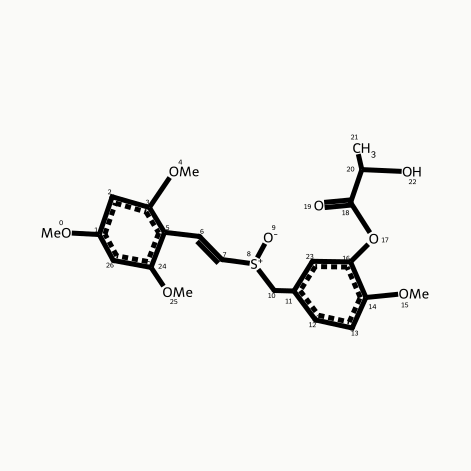 COc1cc(OC)c(C=C[S+]([O-])Cc2ccc(OC)c(OC(=O)C(C)O)c2)c(OC)c1